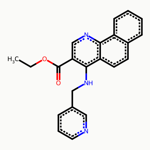 CCOC(=O)c1cnc2c(ccc3ccccc32)c1NCc1cccnc1